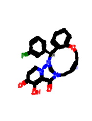 O=C1c2c(O)c(=O)ccn2N2CN1C/C=C\COc1ccccc1[C@@H]2c1cccc(F)c1